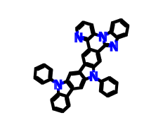 c1ccc(-n2c3ccccc3c3cc4c(cc32)c2cc3c(cc2n4-c2ccccc2)c2nc4ccccc4n2c2cccnc32)cc1